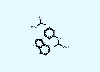 CC(N)C(=O)O.CC(Nc1ccccn1)C(=O)O.c1ccc2sccc2c1